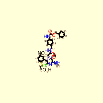 CC(C)NC1=NC(Cl)=C(c2cc([N+](=O)[O-])ccc2SCC(=O)O)[N+](=CC(=O)NCc2ccc(NC(=O)OCc3ccccc3)cc2)C1=O